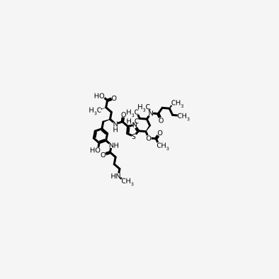 CC[C@H](C)CC(=O)N(C)C(C[C@@H](OC(C)=O)c1nc(C(=O)N[C@@H](Cc2ccc(O)c(NC(=O)CCCNC)c2)C[C@H](C)C(=O)O)cs1)C(C)C